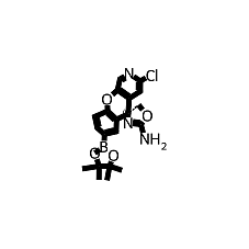 CC1(C)OB(c2ccc3c(c2)[C@@]2(COC(N)=N2)c2cc(Cl)ncc2O3)OC1(C)C